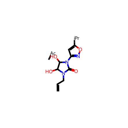 C=CCN1C(=O)N(c2cc(C(C)C)on2)C(O)C1O.CC(C)=O